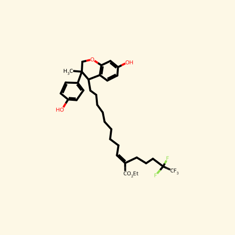 CCOC(=O)C(=CCCCCCCCCC1c2ccc(O)cc2OCC1(C)c1ccc(O)cc1)CCCC(F)(F)C(F)(F)F